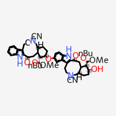 CCCCO[C@H]1CC2[C@@H](CC[C@H](O)[C@@H]2C(=O)OC)CN(C#N)CCc2c1[nH]c1ccc(O[C@H]3CC[C@H]4CN(C#N)CCc5c([nH]c6ccccc56)[C@H](OCCCC)CC4[C@H]3C(=O)OC)cc21